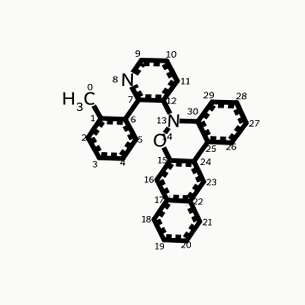 Cc1ccccc1-c1ncccc1N1Oc2cc3ccccc3cc2-c2ccccc21